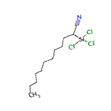 CCCCCCCCCCC(C#N)[Si](Cl)(Cl)Cl